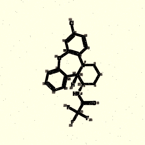 O=C(N[C@H]1CCCN2c3ccc(Cl)cc3Oc3ccccc3[C@@H]12)C(F)(F)F